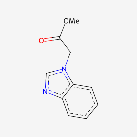 COC(=O)Cn1cnc2ccccc21